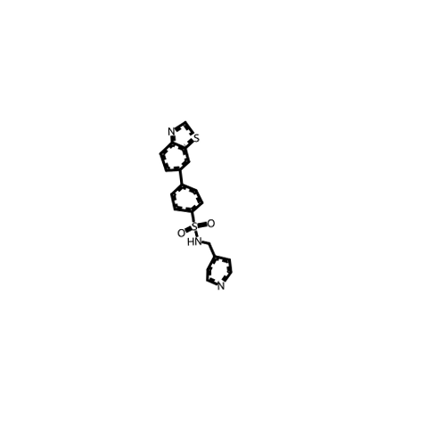 O=S(=O)(NCc1ccncc1)c1ccc(-c2ccc3ncsc3c2)cc1